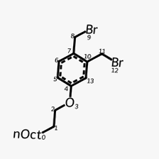 CCCCCCCCCCOc1ccc(CBr)c(CBr)c1